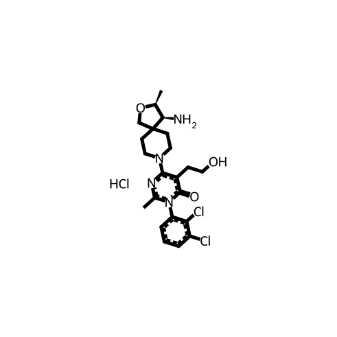 Cc1nc(N2CCC3(CC2)CO[C@@H](C)[C@H]3N)c(CCO)c(=O)n1-c1cccc(Cl)c1Cl.Cl